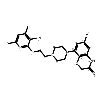 Cc1cc(C)c(C#N)c(SCCN2CCN(c3cc(Cl)cc4c3OCC(=O)N4)CC2)n1